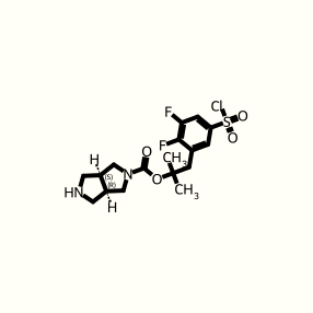 CC(C)(Cc1cc(S(=O)(=O)Cl)cc(F)c1F)OC(=O)N1C[C@H]2CNC[C@H]2C1